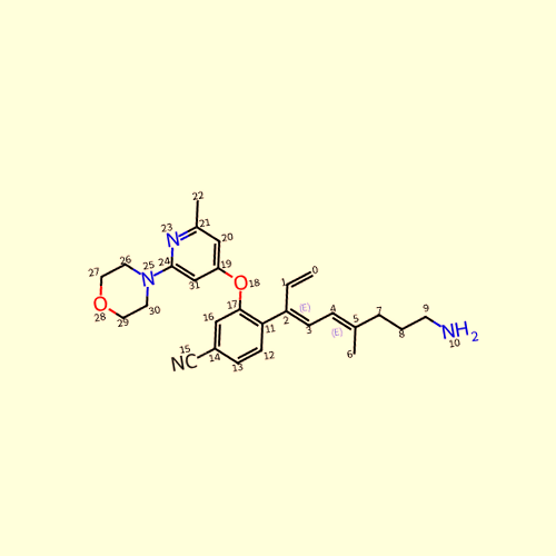 C=C/C(=C\C=C(/C)CCCN)c1ccc(C#N)cc1Oc1cc(C)nc(N2CCOCC2)c1